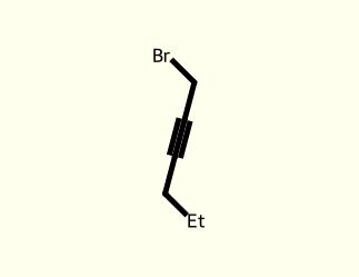 CCCC#CCBr